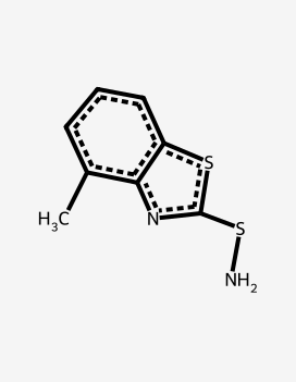 Cc1cccc2sc(SN)nc12